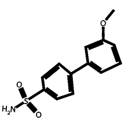 COc1cccc(-c2ccc(S(N)(=O)=O)cc2)c1